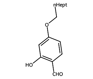 CCCCCCCCOc1ccc(C=O)c(O)c1